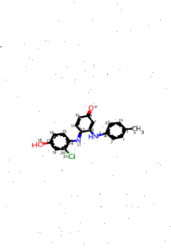 Cc1ccc(NC2=CC(=O)C=CC2=Nc2ccc(O)cc2Cl)cc1